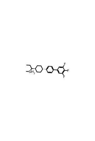 CCC([SiH2]C)[C@H]1CC[C@H](c2ccc(-c3cc(F)c(F)c(F)c3)cc2)CC1